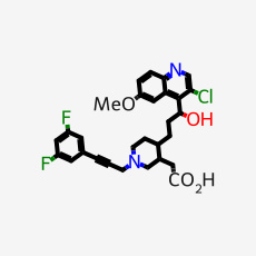 COc1ccc2ncc(Cl)c(C(O)CCC3CCN(CC#Cc4cc(F)cc(F)c4)CC3CC(=O)O)c2c1